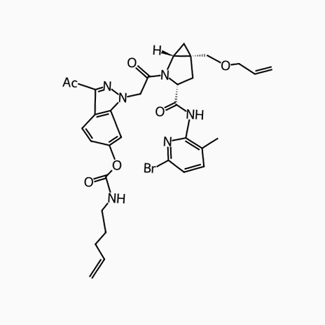 C=CCCCNC(=O)Oc1ccc2c(C(C)=O)nn(CC(=O)N3[C@@H](C(=O)Nc4nc(Br)ccc4C)C[C@]4(COCC=C)C[C@@H]34)c2c1